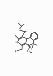 COC(=O)C1=C(CF)NC(C)=C(C(=O)OC(C)C)C1c1ccccc1C(F)(F)F